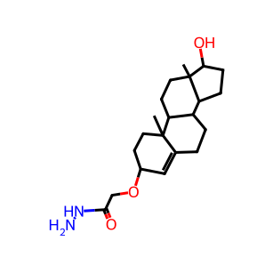 CC12CCC(OCC(=O)NN)C=C1CCC1C2CCC2(C)C(O)CCC12